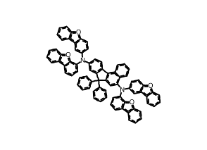 c1ccc(C2(c3ccccc3)c3cc(N(c4ccc5oc6ccccc6c5c4)c4cccc5c4oc4ccccc45)ccc3-c3c2cc(N(c2ccc4oc5ccccc5c4c2)c2cccc4c2oc2ccccc24)c2ccccc32)cc1